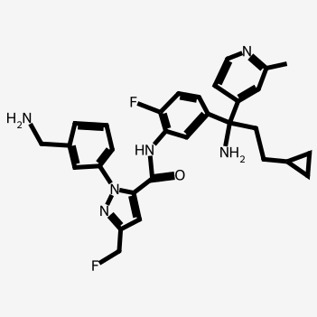 Cc1cc(C(N)(CCC2CC2)c2ccc(F)c(NC(=O)c3cc(CF)nn3-c3cccc(CN)c3)c2)ccn1